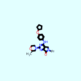 CC(C)N1Cc2c(Nc3ccc(OC4CCCC4)cc3)nc(N3CCO[C@H](C)C3)nc2C1=O